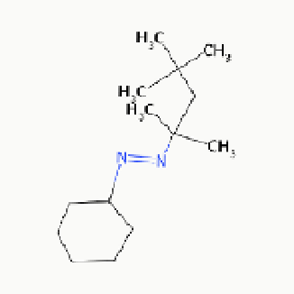 CC(C)(C)CC(C)(C)N=NC1CCCCC1